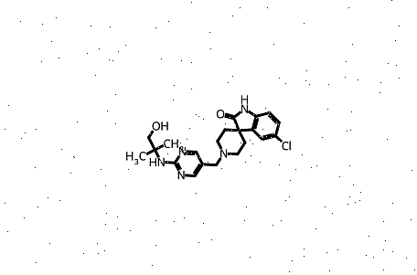 CC(C)(CO)Nc1ncc(CN2CCC3(CC2)C(=O)Nc2ccc(Cl)cc23)cn1